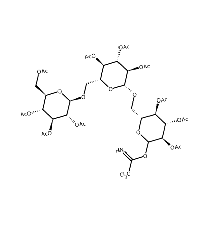 CC(=O)OC[C@H]1O[C@@H](OC[C@H]2O[C@@H](OC[C@H]3OC(OC(=N)C(Cl)(Cl)Cl)[C@H](OC(C)=O)[C@@H](OC(C)=O)[C@@H]3OC(C)=O)[C@H](OC(C)=O)[C@@H](OC(C)=O)[C@@H]2OC(C)=O)[C@H](OC(C)=O)[C@@H](OC(C)=O)[C@@H]1OC(C)=O